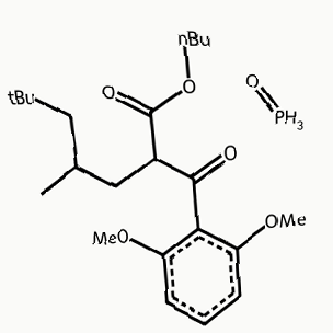 CCCCOC(=O)C(CC(C)CC(C)(C)C)C(=O)c1c(OC)cccc1OC.O=[PH3]